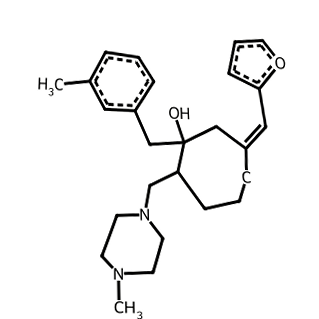 Cc1cccc(CC2(O)C/C(=C\c3ccco3)CCCC2CN2CCN(C)CC2)c1